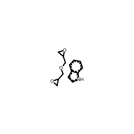 C(OCC1CO1)C1CO1.c1ccc2[nH]ccc2c1